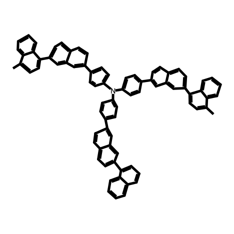 Cc1ccc(-c2ccc3ccc(-c4ccc(N(c5ccc(-c6ccc7ccc(-c8cccc9ccccc89)cc7c6)cc5)c5ccc(-c6ccc7ccc(-c8ccc(C)c9ccccc89)cc7c6)cc5)cc4)cc3c2)c2ccccc12